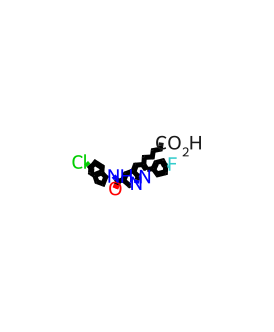 O=C(O)CCCCc1cc2cc(C(=O)N[C@H]3CCc4cc(Cl)ccc43)cnc2nc1-c1ccc(F)cc1